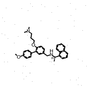 COc1ccc(-c2cc(CN[C@H](C)c3cccc4ccccc34)ccc2OCCCN(C)C)cc1